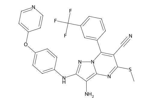 CSc1nc2c(N)c(Nc3ccc(Oc4ccncc4)cc3)nn2c(-c2cccc(C(F)(F)F)c2)c1C#N